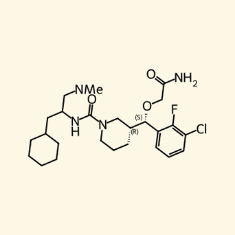 CNCC(CC1CCCCC1)NC(=O)N1CCC[C@@H]([C@H](OCC(N)=O)c2cccc(Cl)c2F)C1